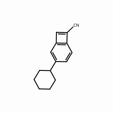 N#CC1=Cc2cc(C3CCCCC3)ccc21